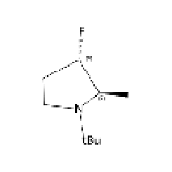 C[C@@H]1[C@@H](F)CCN1C(C)(C)C